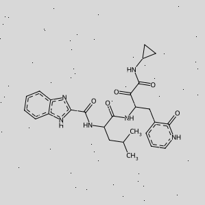 CC(C)CC(NC(=O)c1nc2ccccc2[nH]1)C(=O)NC(Cc1ccc[nH]c1=O)C(=O)C(=O)NC1CC1